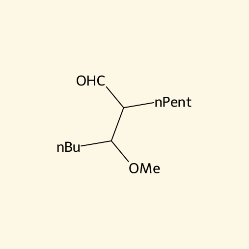 CCCCCC(C=O)C(CCCC)OC